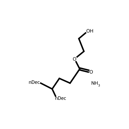 CCCCCCCCCCC(CCCCCCCCCC)CCC(=O)OCCO.N